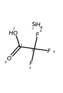 O=C(O)C(F)(F)F.[SiH4]